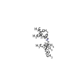 C=CC(=O)SCC[N+](CC)(CCC)CC(C)C/C=C/C(=O)SCC[N+](CC)(CCC)CCCC